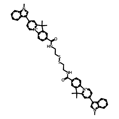 Cn1cc(-c2cc[n+]3c(c2)C(C)(C)c2cc(C(=O)NCCSSCCNC(=O)c4ccc5c(c4)C(C)(C)c4cc(-c6cn(C)c7ccccc67)cc[n+]4-5)ccc2-3)c2ccccc21